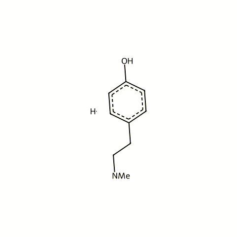 CNCCc1ccc(O)cc1.[H]